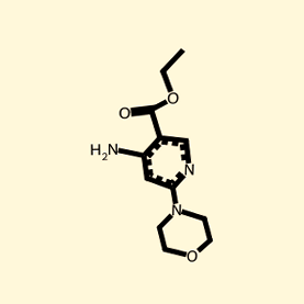 CCOC(=O)c1cnc(N2CCOCC2)cc1N